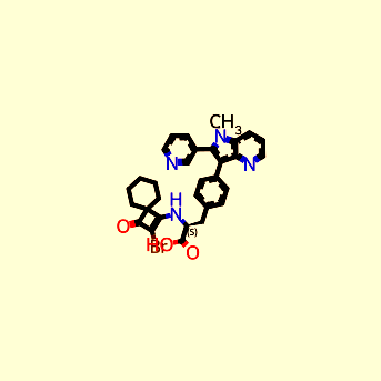 Cn1c(-c2cccnc2)c(-c2ccc(C[C@H](NC3=C(Br)C(=O)C34CCCCC4)C(=O)O)cc2)c2ncccc21